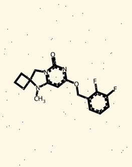 CN1c2cc(OCc3cccc(F)c3F)nc(=O)n2CC12CCC2